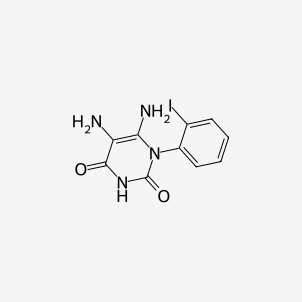 Nc1c(N)n(-c2ccccc2I)c(=O)[nH]c1=O